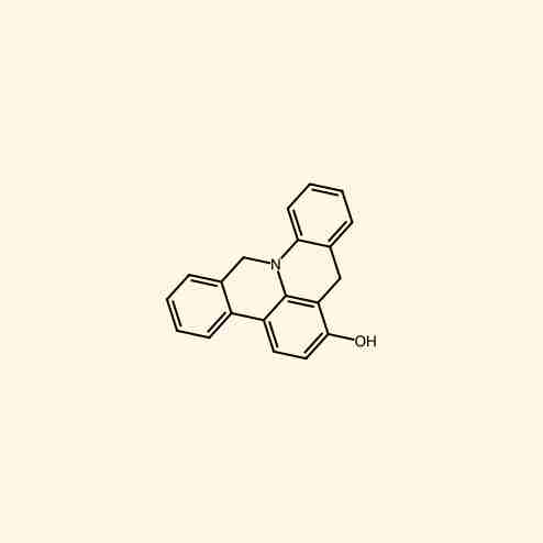 Oc1ccc2c3c1Cc1ccccc1N3Cc1ccccc1-2